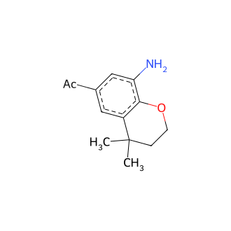 CC(=O)c1cc(N)c2c(c1)C(C)(C)CCO2